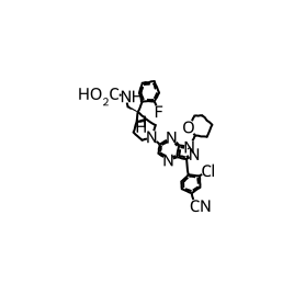 N#Cc1ccc(-c2nn(C3CCCCO3)c3nc(N4CC[C@@H]5[C@H](C4)[C@@]5(CNC(=O)O)c4ccccc4F)cnc23)c(Cl)c1